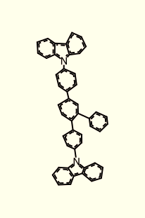 c1ccc(-c2cc(-c3ccc(-n4c5ccccc5c5ccccc54)cc3)ccc2-c2ccc(-n3c4ccccc4c4ccccc43)cc2)cc1